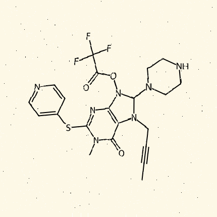 CC#CCN1c2c(nc(Sc3ccncc3)n(C)c2=O)N(OC(=O)C(F)(F)F)C1N1CCNCC1